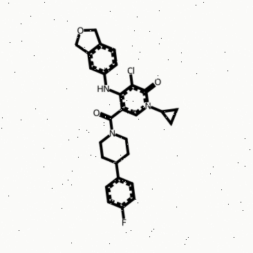 O=C(c1cn(C2CC2)c(=O)c(Cl)c1Nc1ccc2c(c1)COC2)N1CCC(c2ccc(F)cc2)CC1